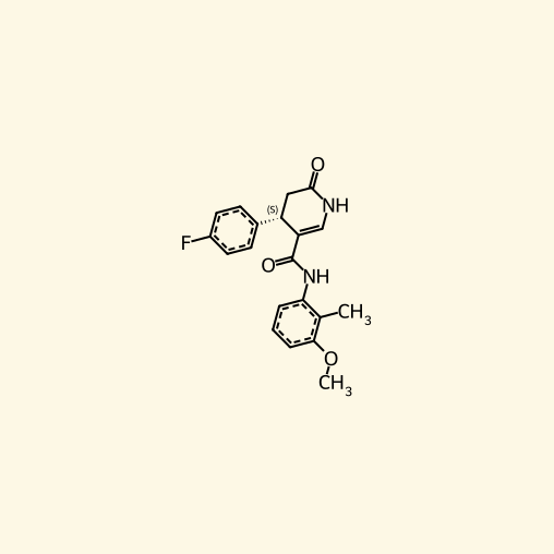 COc1cccc(NC(=O)C2=CNC(=O)C[C@H]2c2ccc(F)cc2)c1C